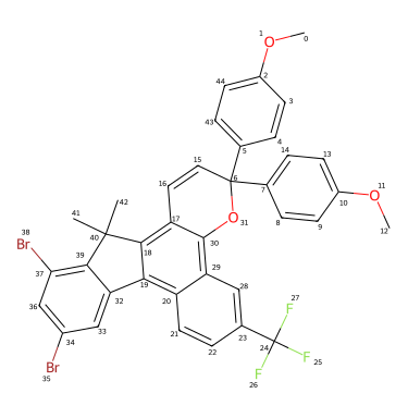 COc1ccc(C2(c3ccc(OC)cc3)C=Cc3c4c(c5ccc(C(F)(F)F)cc5c3O2)-c2cc(Br)cc(Br)c2C4(C)C)cc1